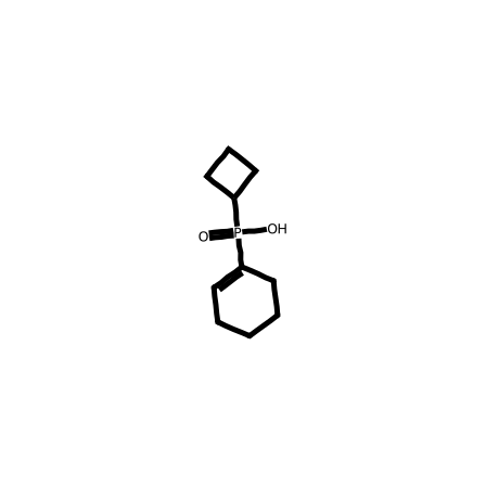 O=P(O)(C1=CCCCC1)C1CCC1